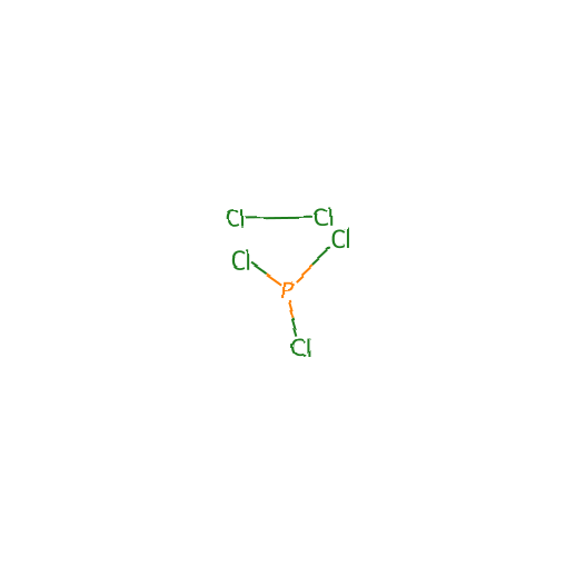 ClCl.ClP(Cl)Cl